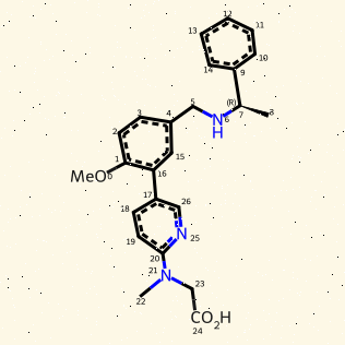 COc1ccc(CN[C@H](C)c2ccccc2)cc1-c1ccc(N(C)CC(=O)O)nc1